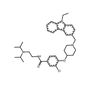 CCn1c2ccccc2c2cc(CN3CCC(Oc4ccc(C(=O)NCCN(C(C)C)C(C)C)cc4Cl)CC3)ccc21